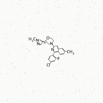 Cc1ccc2c(-c3ccc(Cl)cc3F)nc(N3CCO[C@H](c4cnn(C)c4)C3)cc2c1